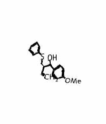 C=C[C@@H](CSc1ccccc1)[C@@H](O)c1ccc(OC)cc1